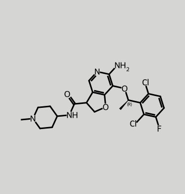 C[C@@H](Oc1c(N)ncc2c1OCC2C(=O)NC1CCN(C)CC1)c1c(Cl)ccc(F)c1Cl